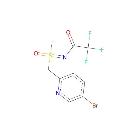 CS(=O)(Cc1ccc(Br)cn1)=NC(=O)C(F)(F)F